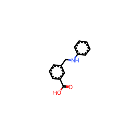 O=C(O)c1cccc(CNc2ccccc2)c1